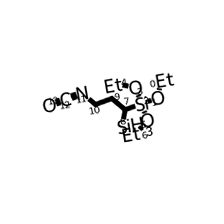 CCO[Si](OCC)(OCC)C([SiH3])CCN=C=O